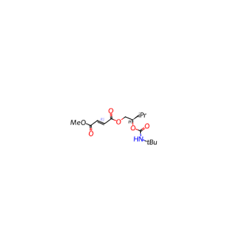 COC(=O)/C=C/C(=O)OC[C@H](OC(=O)NC(C)(C)C)C(C)C